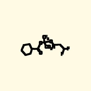 O=C(OC(OCCC(F)F)(C(=O)O)C(F)(F)F)C1CCCCC1